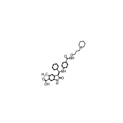 Cc1cc2c(cc1C(=O)O)NC(=O)/C2=C(\Nc1ccc(C(=O)NOCCCN2CCCCC2)cc1)c1ccccc1